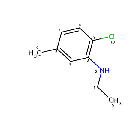 CCNc1cc(C)ccc1Cl